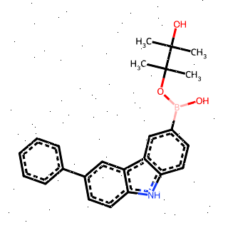 CC(C)(O)C(C)(C)OB(O)c1ccc2[nH]c3ccc(-c4ccccc4)cc3c2c1